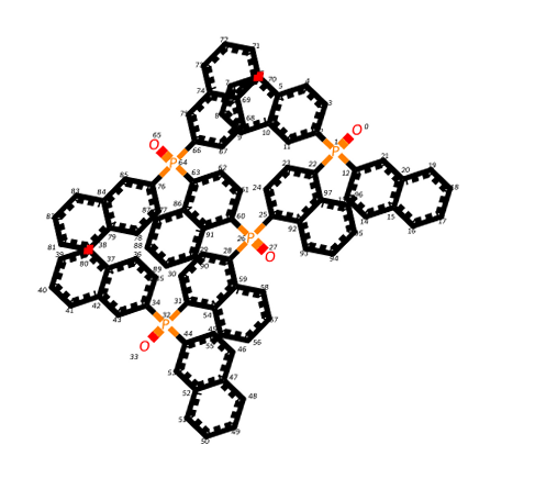 O=P(c1ccc2ccccc2c1)(c1ccc2ccccc2c1)c1ccc(P(=O)(c2ccc(P(=O)(c3ccc4ccccc4c3)c3ccc4ccccc4c3)c3ccccc23)c2ccc(P(=O)(c3ccc4ccccc4c3)c3ccc4ccccc4c3)c3ccccc23)c2ccccc12